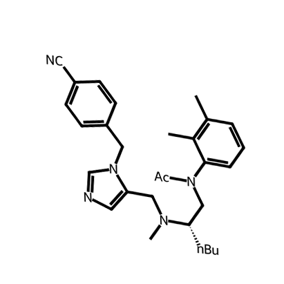 CCCC[C@@H](CN(C(C)=O)c1cccc(C)c1C)N(C)Cc1cncn1Cc1ccc(C#N)cc1